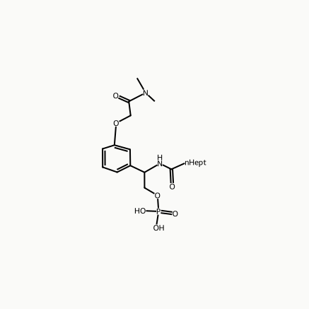 CCCCCCCC(=O)NC(COP(=O)(O)O)c1cccc(OCC(=O)N(C)C)c1